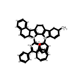 CC1C=Cc2c(c3c(n2-c2ccccc2)C2=C(CC3)C3c4ccccc4C=CC3N2c2nc3c(c(-c4ccccc4)n2)CC=CC=C3)C1